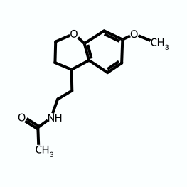 COc1ccc2c(c1)OCCC2CCNC(C)=O